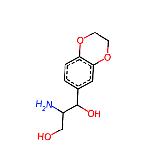 NC(CO)C(O)c1ccc2c(c1)OCCO2